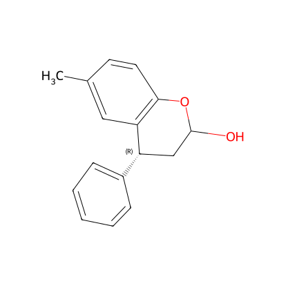 Cc1ccc2c(c1)[C@@H](c1ccccc1)CC(O)O2